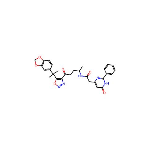 CC(CCC(=O)c1nnoc1C(C)(C)c1ccc2c(c1)OCO2)NC(=O)Cc1cc(=O)[nH]c(-c2ccccc2)n1